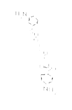 Nc1ccc(S(=O)(=O)CCOCCOOSc2cccc(N)c2)cc1